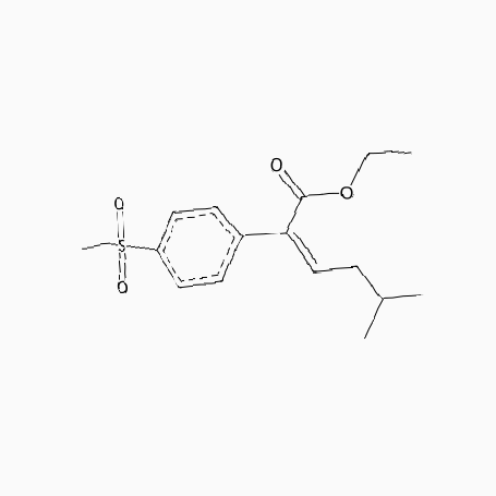 CCOC(=O)C(=CCC(C)C)c1ccc(S(C)(=O)=O)cc1